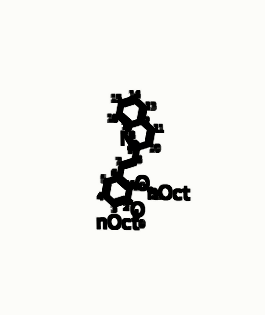 CCCCCCCCOc1cccc(C=Cc2ccc3ccccc3n2)c1OCCCCCCCC